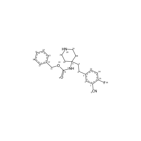 N#Cc1cc(CCC2(NC(=O)OCc3ccccc3)CCNCC2)ccc1F